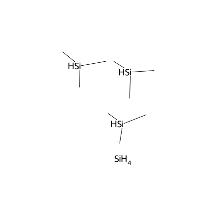 C[SiH](C)C.C[SiH](C)C.C[SiH](C)C.[SiH4]